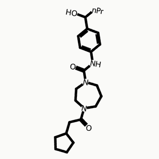 CCCC(O)c1ccc(NC(=O)N2CCCN(C(=O)CC3CCCC3)CC2)cc1